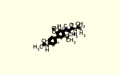 COc1cc(-c2ccc(NC(C)C)cc2)c(OC)cc1/C(C)=C(\C)C(=O)NC(C)C